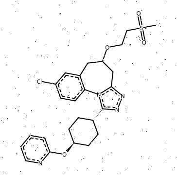 CS(=O)(=O)CCOC1Cc2cc(Cl)ccc2-n2c(nnc2[C@H]2CC[C@H](Oc3ccccn3)CC2)C1